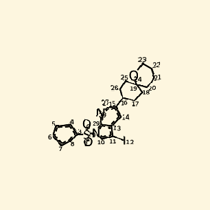 O=S(=O)(c1ccccc1)n1cc(I)c2cc(C3CCC4(CCCCO4)CC3)cnc21